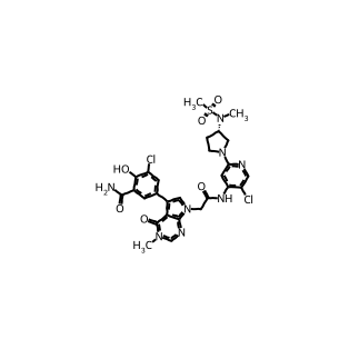 CN([C@H]1CCN(c2cc(NC(=O)Cn3cc(-c4cc(Cl)c(O)c(C(N)=O)c4)c4c(=O)n(C)cnc43)c(Cl)cn2)C1)S(C)(=O)=O